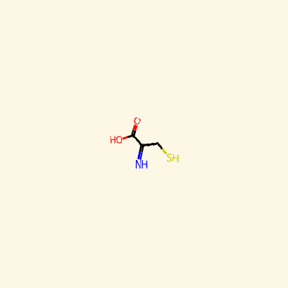 N=C(CS)C(=O)O